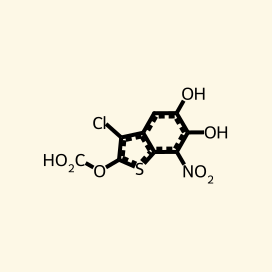 O=C(O)Oc1sc2c([N+](=O)[O-])c(O)c(O)cc2c1Cl